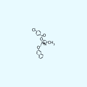 Cc1cc(OC(=O)c2ccc(Cl)cc2)n(CCOc2ccc3ccccc3c2)n1